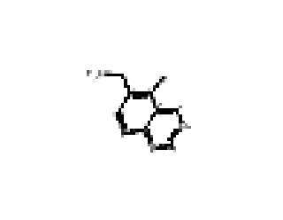 Cc1c(CN)ccc2ncncc12